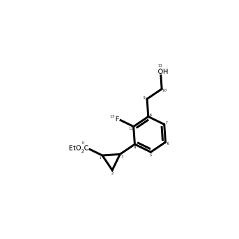 CCOC(=O)C1CC1c1cccc(CCO)c1F